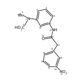 CC(C)(C)N(C(=O)O)c1cccc(NC(=O)Cc2cccc([N+](=O)[O-])c2)c1